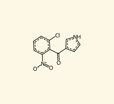 O=C(c1cc[nH]c1)c1c(Cl)cccc1[N+](=O)[O-]